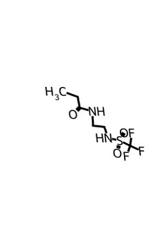 CCC(=O)NCCNS(=O)(=O)C(F)(F)F